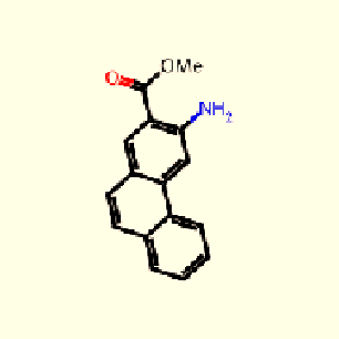 COC(=O)c1cc2ccc3ccccc3c2cc1N